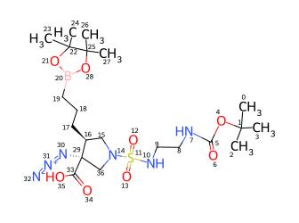 CC(C)(C)OC(=O)NCCNS(=O)(=O)N1C[C@H](CCCB2OC(C)(C)C(C)(C)O2)[C@](N=[N+]=[N-])(C(=O)O)C1